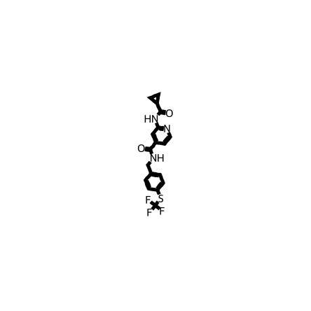 O=C(NCc1ccc(SC(F)(F)F)cc1)c1ccnc(NC(=O)C2CC2)c1